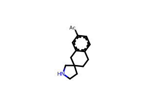 CC(=O)c1ccc2c(c1)CC1(CCNC1)CC2